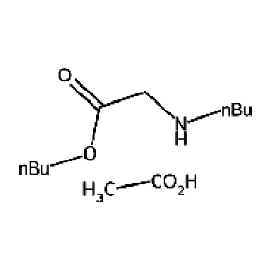 CC(=O)O.CCCCNCC(=O)OCCCC